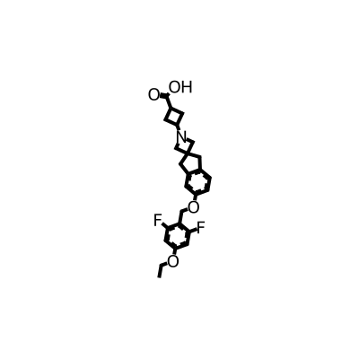 CCOc1cc(F)c(COc2ccc3c(c2)CC2(C3)CN(C3CC(C(=O)O)C3)C2)c(F)c1